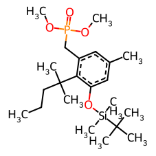 CCCC(C)(C)c1c(CP(=O)(OC)OC)cc(C)cc1O[Si](C)(C)C(C)(C)C